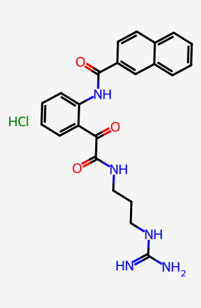 Cl.N=C(N)NCCCNC(=O)C(=O)c1ccccc1NC(=O)c1ccc2ccccc2c1